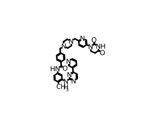 Cc1ccc(NC(=O)c2ccc(CN3CCN(Cc4ccc(N5CCC(=O)NC5=O)cn4)CC3)cc2)cc1Nc1nccc(-c2cccnc2)n1